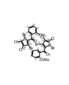 COc1ccccc1C(=O)c1c(Br)c(Cl)c(Cl)n1Br.O=C(c1ccccc1O)c1c(Br)c(Cl)c(Cl)n1Br